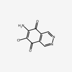 NC1=C(Cl)C(=O)c2cnncc2C1=O